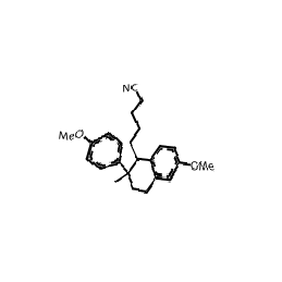 COc1ccc(C2(C)CCc3cc(OC)ccc3C2CCCCC#N)cc1